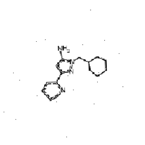 Nc1cc(-c2ccccn2)nn1CC1CCCCC1